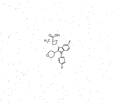 C[C@]1(C(=O)O)C[C@H](c2c(C3CCOCC3)n(-c3ccc(F)cc3)c3ccc(F)cc32)C1